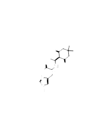 CC(N[C@@H](Cc1c[nH]cn1)C(=O)O)=C1C(=O)CC(C)(C)CC1=O